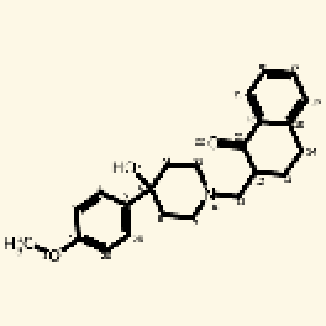 COc1ccc(C2(O)CCN(CC3CCc4ccccc4C3=O)CC2)cc1